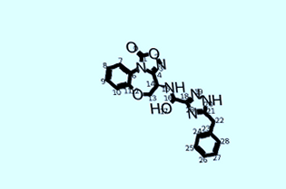 O=c1onc2n1-c1ccccc1OC[C@@H]2NC(O)c1n[nH]c(Cc2ccccc2)n1